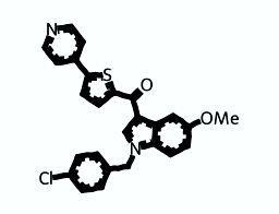 COc1ccc2c(c1)c(C(=O)c1ccc(-c3ccncc3)s1)cn2Cc1ccc(Cl)cc1